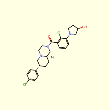 O=C(c1cccc(N2CC[C@@H](O)C2)c1Cl)N1CCN2C[C@@H](c3ccc(Cl)cc3)CC[C@@H]2C1